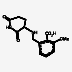 COc1cccc(CNC2CCC(=O)NC2=O)c1C(=O)O